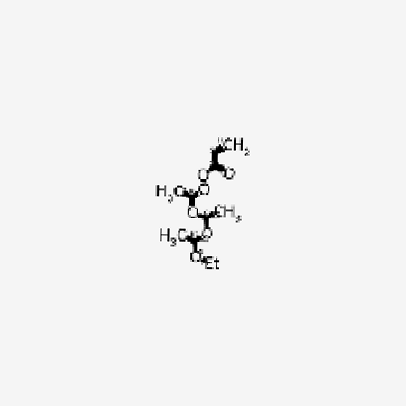 C=CC(=O)OOC(C)OC(C)OC(C)OCC